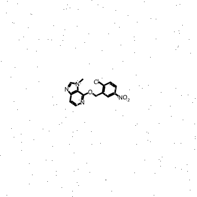 Cn1cnc2ccnc(OCc3cc([N+](=O)[O-])ccc3Cl)c21